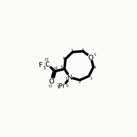 CC(C)N1CCCOCCCC1C(=O)C(F)(F)F